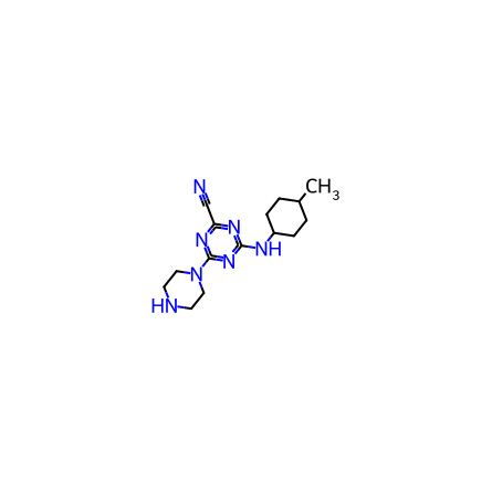 CC1CCC(Nc2nc(C#N)nc(N3CCNCC3)n2)CC1